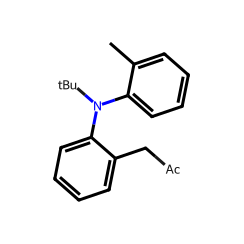 CC(=O)Cc1ccccc1N(c1ccccc1C)C(C)(C)C